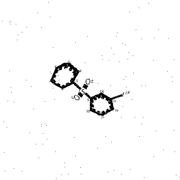 O=S(=O)(c1ccccc1)c1cccc(I)c1